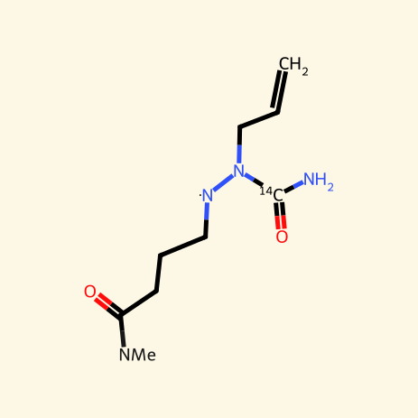 C=CCN([N]CCCC(=O)NC)[14C](N)=O